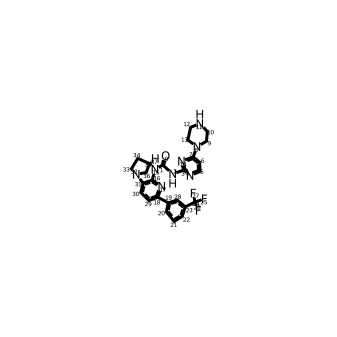 O=C(Nc1nccc(N2CCNCC2)n1)N1c2nc(-c3cccc(C(F)(F)F)c3)ccc2N2CC[C@H]1C2